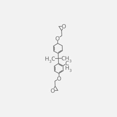 Cc1cc(OCC2CO2)ccc1C(C)(C)C1=CCC(OCC2CO2)C=C1